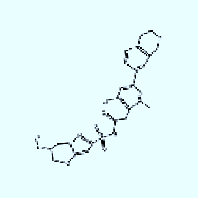 CCc1cc(-c2ccc3c(c2)COCC3)cc(C)c1CC(=O)NS(=O)(=O)c1cc2n(n1)CC(OC(C)C)CO2